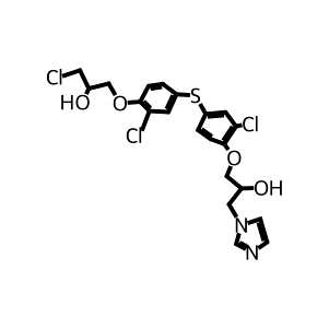 OC(CCl)COc1ccc(Sc2ccc(OCC(O)Cn3ccnc3)c(Cl)c2)cc1Cl